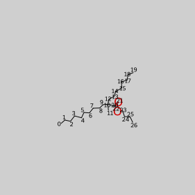 CCCCCCCCCCC(C)(CCCCCCCC)C(=O)OCCCC